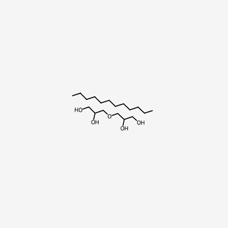 CCCCCCCCCCCC.OCC(O)COCC(O)CO